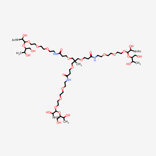 CC(=O)NC(O)C(OCCOCCOCCNC(=O)CCOCC(C)(COCCC(=O)NCCOCCOCCOC(OC(CO)C(C)O)C(O)NC(C)=O)COCCC(=O)NCCOCCOCCOC(OC(CO)C(C)O)C(O)NC(C)=O)OC(CO)C(C)O